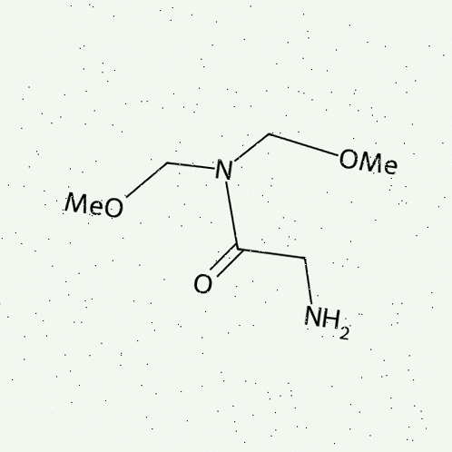 COCN(COC)C(=O)CN